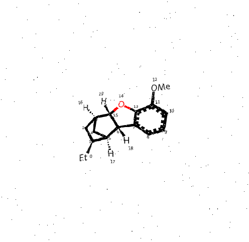 CC[C@H]1C[C@@H]2C[C@H]1[C@H]1c3cccc(OC)c3O[C@@H]21